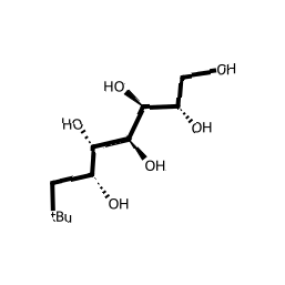 CC(C)(C)C[C@@H](O)[C@H](O)[C@H](O)[C@@H](O)[C@@H](O)CO